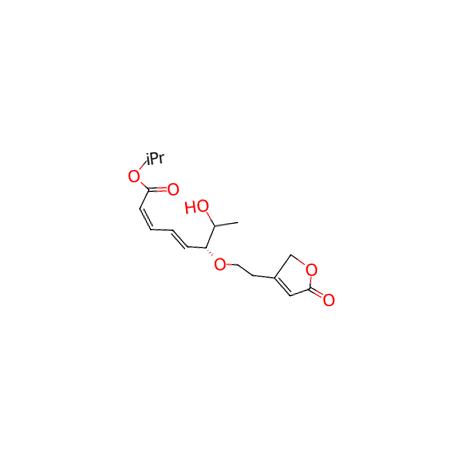 CC(C)OC(=O)/C=C\C=C\[C@@H](OCCC1=CC(=O)OC1)C(C)O